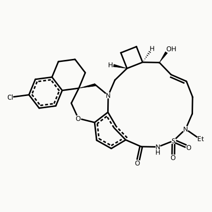 CCN1CC/C=C/[C@H](O)[C@@H]2CC[C@H]2CN2C[C@@]3(CCCc4cc(Cl)ccc43)COc3ccc(cc32)C(=O)NS1(=O)=O